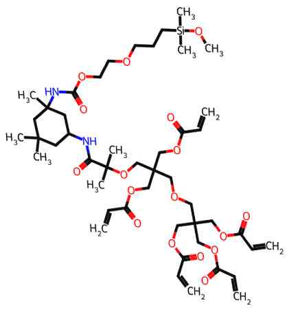 C=CC(=O)OCC(COCC(COC(=O)C=C)(COC(=O)C=C)COC(C)(C)C(=O)NC1CC(C)(C)CC(C)(NC(=O)OCCOCCC[Si](C)(C)OC)C1)(COC(=O)C=C)COC(=O)C=C